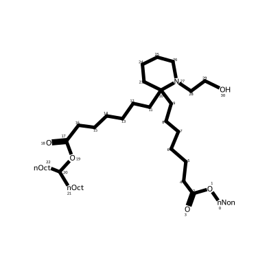 CCCCCCCCCOC(=O)CCCCCCC1(CCCCCCC(=O)OC(CCCCCCCC)CCCCCCCC)CCCCN1CCO